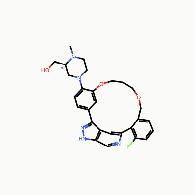 CN1CCN(c2ccc3cc2OCCCOCc2cccc(F)c2-c2cc4c-3n[nH]c4cn2)C[C@H]1CO